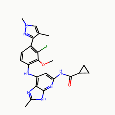 COc1c(Nc2cc(NC(=O)C3CC3)nc3[nH]c(C)nc23)ccc(-c2nn(C)cc2C)c1F